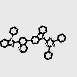 c1ccc(-c2nc(-c3ccccc3)nc(-n3c4ccccc4c4cc(-c5ccc(-c6nc7ccccc7n6-c6ccccc6)c6ncccc56)ccc43)n2)cc1